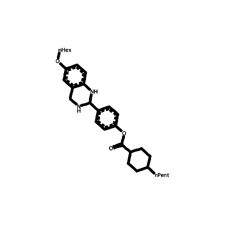 CCCCCCOc1ccc2c(c1)CNC(c1ccc(OC(=O)C3CCC(CCCCC)CC3)cc1)N2